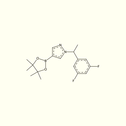 CC(c1cc(F)cc(F)c1)n1cc(B2OC(C)(C)C(C)(C)O2)cn1